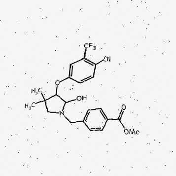 COC(=O)c1ccc(CN2CC(C)(C)C(Oc3ccc(C#N)c(C(F)(F)F)c3)C2O)cc1